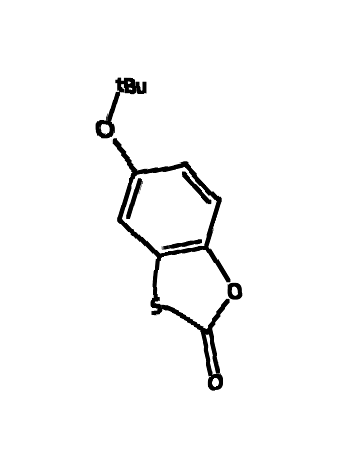 CC(C)(C)Oc1ccc2oc(=O)sc2c1